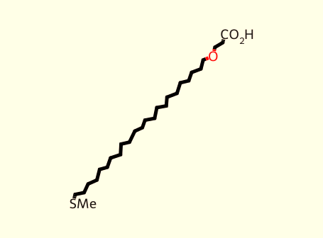 CSCCCCCCCCCCCCCCCCCCCCCCCOCCC(=O)O